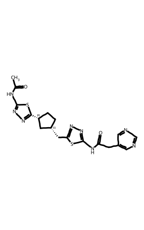 CC(=O)Nc1nnc([C@@H]2CC[C@H](Cc3nnc(NC(=O)Cc4cncnc4)s3)C2)s1